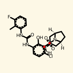 Cc1c(F)cccc1NC(=O)Nc1ccc(Cl)c(S(=O)(=O)N2[C@@H]3CC[C@H]2C/C(=N\O)C3)c1O